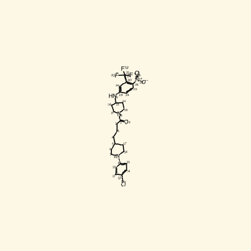 O=C(CCCC1CCN(c2ccc(Cl)cc2)CC1)N1CCC(Nc2ccc([N+](=O)[O-])c(C(F)(F)F)c2)CC1